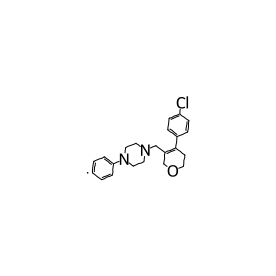 Clc1ccc(C2=C(CN3CCN(c4cc[c]cc4)CC3)COCC2)cc1